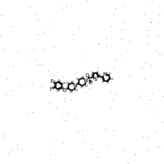 O=S(=O)(c1ccc(-c2ccccn2)s1)N1CCC(N2CCC(Oc3ccc(F)c(F)c3)CC2)CC1